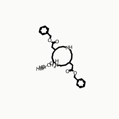 Br.Br.C.C.O=C(C[C]1CCCNCCC(CC(=O)OCc2ccccc2)CCCNCC1)OCc1ccccc1